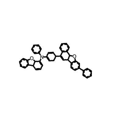 C1=CC2c3ccccc3OC2C(N(C2=CCC(C3=CC4c5ccc(-c6ccccc6)cc5OC4c4ccccc43)C=C2)c2ccccc2)=C1